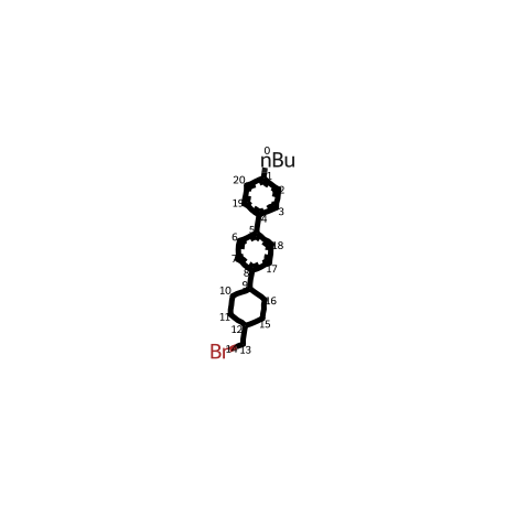 CCCCc1ccc(-c2ccc(C3CCC(CBr)CC3)cc2)cc1